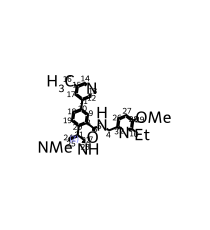 CCc1nc(CNC(=O)c2cc(-c3cncc(C)c3)ccc2/C(C=N)=C/NC)ccc1OC